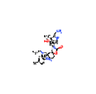 C=CN(C[C@@]1(C)CCCC2(CN(C(=C)/C=N\C(=C/N)C(C)(C)O)C(=O)O2)C1)c1cc(C#N)ccc1N